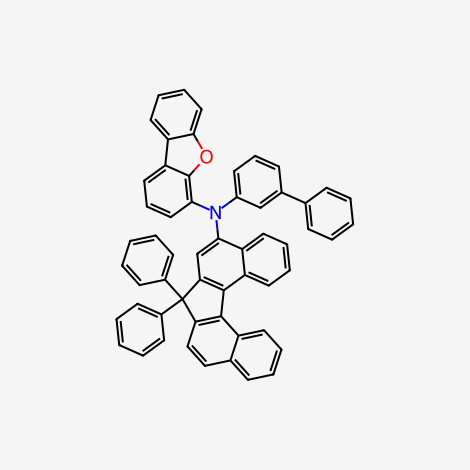 c1ccc(-c2cccc(N(c3cc4c(c5ccccc35)-c3c(ccc5ccccc35)C4(c3ccccc3)c3ccccc3)c3cccc4c3oc3ccccc34)c2)cc1